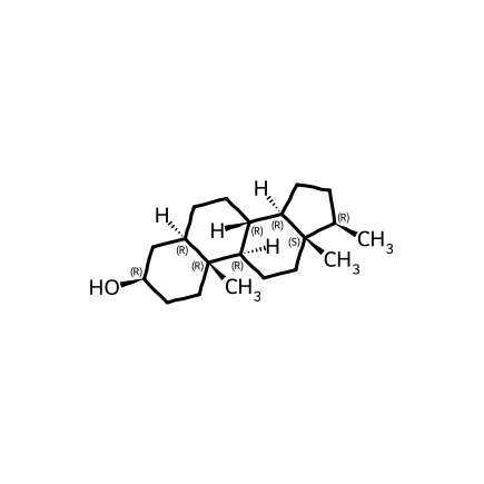 C[C@@H]1CC[C@@H]2[C@H]3CC[C@@H]4C[C@H](O)CC[C@@]4(C)[C@@H]3CC[C@@]12C